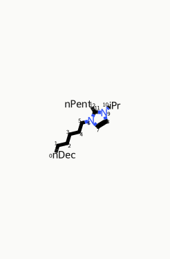 CCCCCCCCCCCCCCCN1C=CN(C(C)C)C1CCCCC